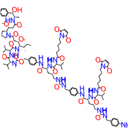 CC[C@H](C)[C@@H]([C@@H](CC(=O)N1CCC[C@H]1[C@H](OC)[C@@H](C)C(=O)N[C@H](C)[C@@H](O)c1ccccc1)OC)N(C)C(=O)[C@@H](NC(=O)[C@H](C(C)C)N(C)C(=O)OCc1ccc(NC(=O)[C@H](CCCNC(=O)NCc2ccc(NC(=O)[C@H](CCCNC(=O)NCc3ccc(N)cc3)NC(=O)[C@@H](NC(=O)CCCCCN3C(=O)C=CC3=O)C(C)C)cc2)NC(=O)[C@@H](NC(=O)CCCCCN2C(=O)C=CC2=O)C(C)C)cc1)C(C)C